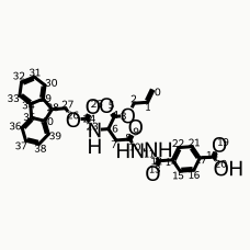 C=CCOC(=O)C(CC(=O)NNC(=O)c1ccc(C(=O)O)cc1)NC(=O)OCC1c2ccccc2-c2ccccc21